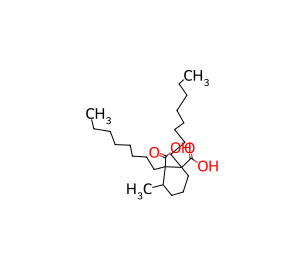 CCCCCCCCC1(C(=O)O)CCCC(C)C1(CCCCCCCC)C(=O)O